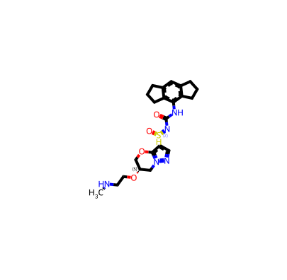 CNCCO[C@@H]1COc2c(/[SH](=O)=N/C(=O)Nc3c4c(cc5c3CCC5)CCC4)cnn2C1